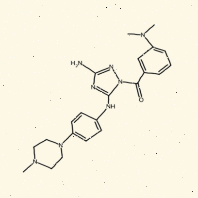 CN1CCN(c2ccc(Nc3nc(N)nn3C(=O)c3cccc(N(C)C)c3)cc2)CC1